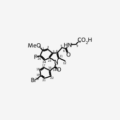 COc1cc2c(CC(=O)NCC(=O)O)c(C)n(C(=O)c3ccc(Br)cc3)c2cc1F